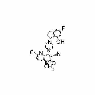 Cn1c(=O)c(C#N)c(N2CCN(C3CCc4cc(F)cc(O)c43)CC2)c2nc(Cl)ccc21